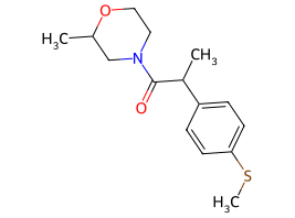 CSc1ccc(C(C)C(=O)N2CCOC(C)C2)cc1